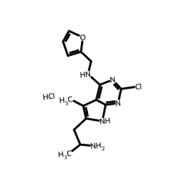 Cc1c(CC(C)N)[nH]c2nc(Cl)nc(NCc3ccco3)c12.Cl